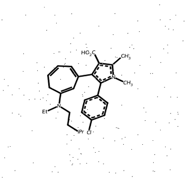 CCN(CCC(C)C)C1=CC(c2c(C(=O)O)c(C)n(C)c2-c2ccc(Cl)cc2)=CC=CC1